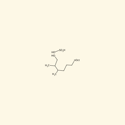 CCCCCCCCCCCC(C)C(C)CO.O=S(=O)(O)O